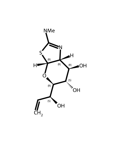 C=C[C@H](O)[C@H]1O[C@@H]2SC(NC)=N[C@@H]2[C@@H](O)[C@@H]1O